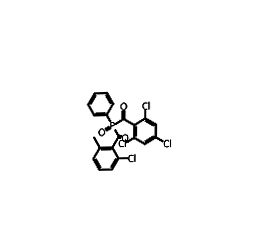 Cc1cccc(Cl)c1C(=O)P(=O)(C(=O)c1c(Cl)cc(Cl)cc1Cl)c1ccccc1